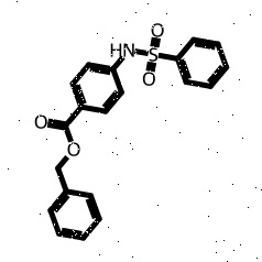 O=C(OCc1ccccc1)c1ccc(NS(=O)(=O)c2ccccc2)cc1